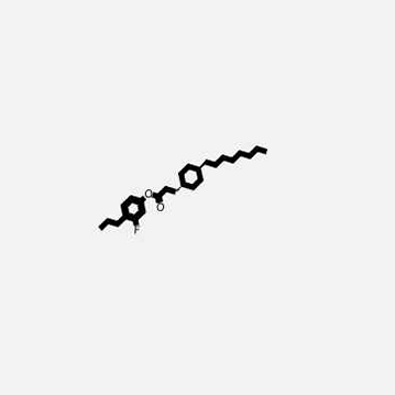 CCCCCCCC[C@H]1CC[C@H](CCC(=O)Oc2ccc(CCC)c(F)c2)CC1